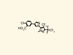 Cn1nc(C(F)(F)C(F)(F)F)c(C(F)(F)F)c1-n1cc(-c2ccc(Cl)c(C(=O)O)c2)cn1